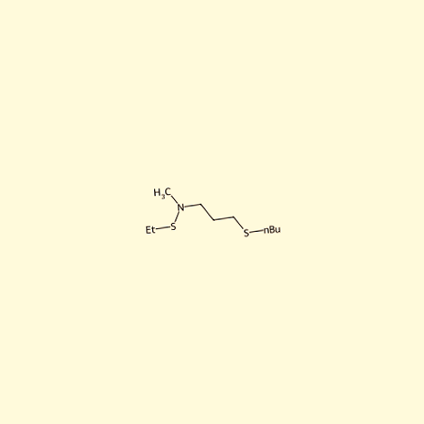 CCCCSCCCN(C)SCC